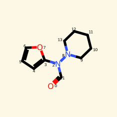 O=[C]N(c1ccco1)N1CCCCC1